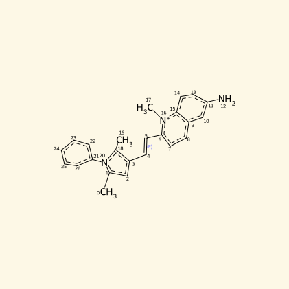 Cc1cc(/C=C/c2ccc3cc(N)ccc3[n+]2C)c(C)n1-c1ccccc1